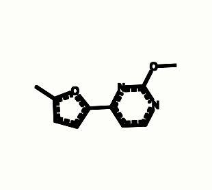 COc1nccc(-c2ccc(C)o2)n1